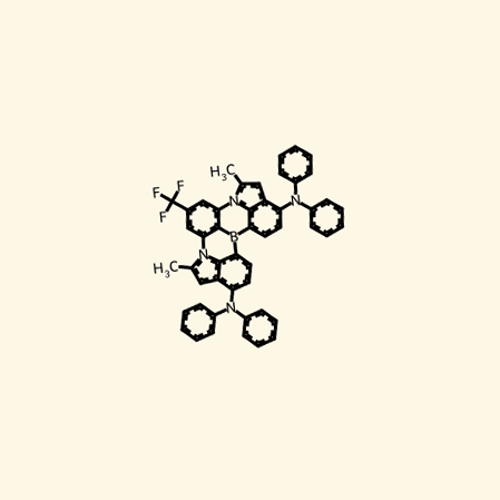 Cc1cc2c(N(c3ccccc3)c3ccccc3)ccc3c2n1-c1cc(C(F)(F)F)cc2c1B3c1ccc(N(c3ccccc3)c3ccccc3)c3cc(C)n-2c13